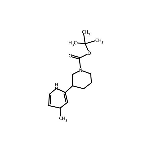 CC1C=CNC(C2CCCN(C(=O)OC(C)(C)C)C2)=C1